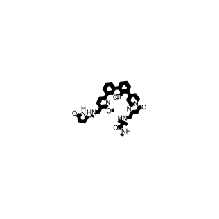 CNC(=O)C(C)(C)NCc1cc(=O)n2ccc(-c3cccc(-c4cccc(-c5ccc(CNC[C@@H]6CCC(=O)N6)c(OC)n5)c4Cl)c3Cl)cc2n1